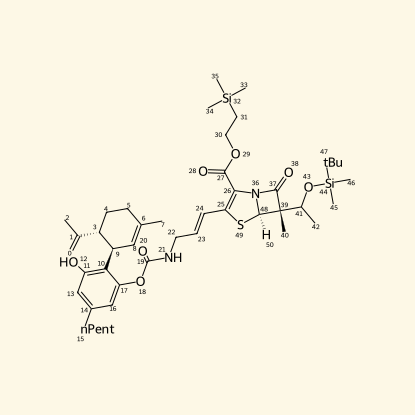 C=C(C)[C@@H]1CCC(C)=C[C@H]1c1c(O)cc(CCCCC)cc1OC(=O)NC/C=C/C1=C(C(=O)OCC[Si](C)(C)C)N2C(=O)[C@](C)(C(C)O[Si](C)(C)C(C)(C)C)[C@H]2S1